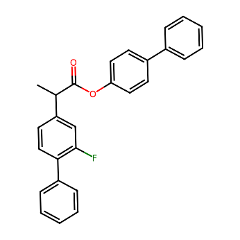 CC(C(=O)Oc1ccc(-c2ccccc2)cc1)c1ccc(-c2ccccc2)c(F)c1